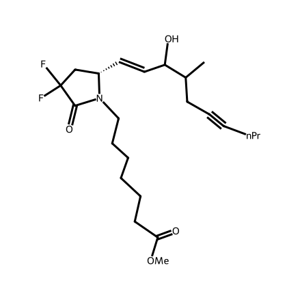 CCCC#CCC(C)C(O)/C=C/[C@H]1CC(F)(F)C(=O)N1CCCCCCC(=O)OC